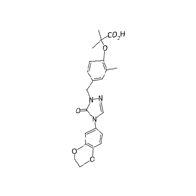 Cc1cc(Cn2ncn(-c3ccc4c(c3)OCCO4)c2=O)ccc1OC(C)(C)C(=O)O